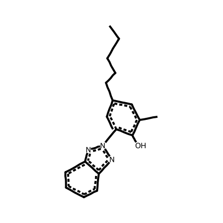 CCCCCc1cc(C)c(O)c(-n2nc3ccccc3n2)c1